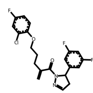 C=C(CCCOc1ccc(F)cc1Cl)C(=O)N1N=CCC1c1cc(F)cc(F)c1